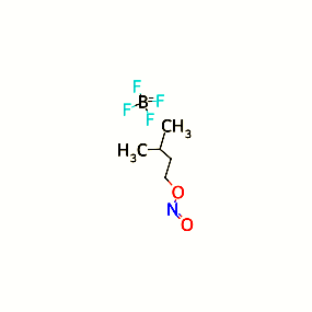 CC(C)CCON=O.F[B-](F)(F)F